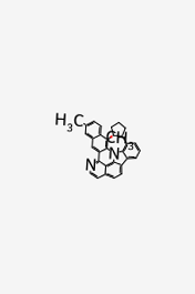 Cc1ccc2c(C)c3c(cc2c1)c1nccc2ccc4c5cccc(C6CCCC6)c5n3c4c21